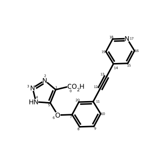 O=C(O)c1nn[nH]c1Oc1cccc(C#Cc2ccncc2)c1